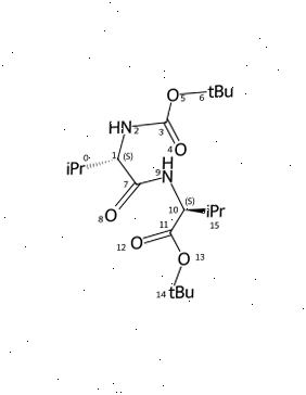 CC(C)[C@H](NC(=O)OC(C)(C)C)C(=O)N[C@H](C(=O)OC(C)(C)C)C(C)C